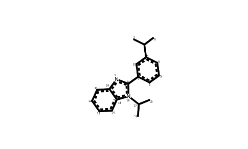 CC(C)c1cccc(-c2nc3ccccc3n2C(C)C)c1